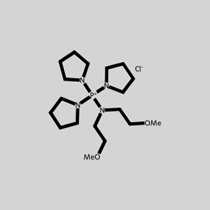 COCCN(CCOC)[P+](N1CCCC1)(N1CCCC1)N1CCCC1.[Cl-]